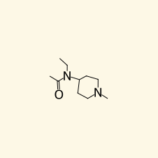 CCN(C(C)=O)C1CCN(C)CC1